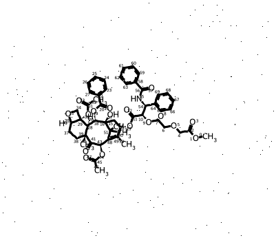 COC(=O)COCC(=O)O[C@@H](C(=O)O[C@H]1C[C@@]2(O)[C@@H](OC(=O)c3ccccc3)[C@@H]3[C@]4(OC(C)=O)CO[C@@H]4CC[C@@]3(C)C(=O)[C@H](OC(C)=O)C(=C1C)C2(C)C)[C@@H](NC(=O)c1ccccc1)c1ccccc1